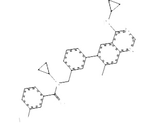 Cc1cc2ncnc(NC3CC3)c2cc1-c1cccc(CN(C(=O)c2cccc(C(F)(F)F)c2)C2CC2)c1